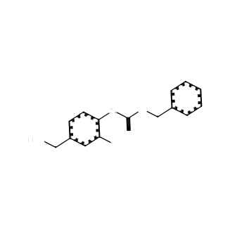 CCc1ccc(NC(=O)OCc2ccccc2)c(Cl)c1